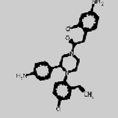 C=Cc1cc(Cl)ccc1N1CCN(C(=O)Cc2ccc(N)cc2Cl)CC1c1ccc(N)cc1